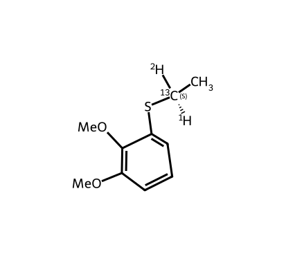 [1H][13C@]([2H])(C)Sc1cccc(OC)c1OC